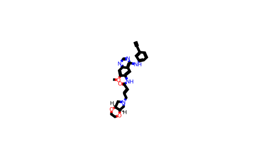 C#Cc1cccc(Nc2ncnc3cc(OC)c(NC(=O)C=CCN4C[C@@H]5OCCO[C@@H]5C4)cc23)c1